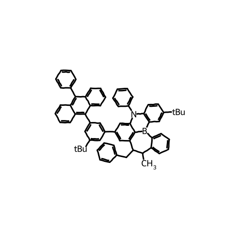 CC1c2ccccc2B2c3cc(C(C)(C)C)ccc3N(c3ccccc3)c3cc(-c4cc(-c5c6ccccc6c(-c6ccccc6)c6ccccc56)cc(C(C)(C)C)c4)cc(c32)C1Cc1ccccc1